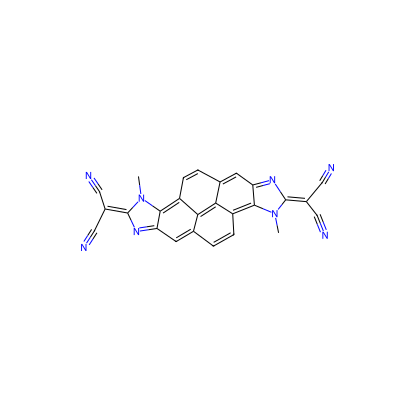 Cn1c(=C(C#N)C#N)nc2cc3ccc4c5c(ccc(c35)c21)cc1nc(=C(C#N)C#N)n(C)c14